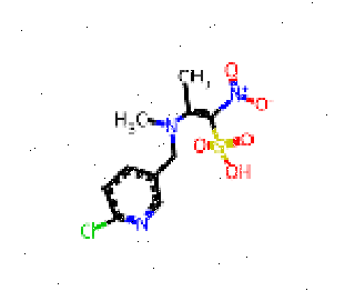 CC(=C([N+](=O)[O-])S(=O)(=O)O)N(C)Cc1ccc(Cl)nc1